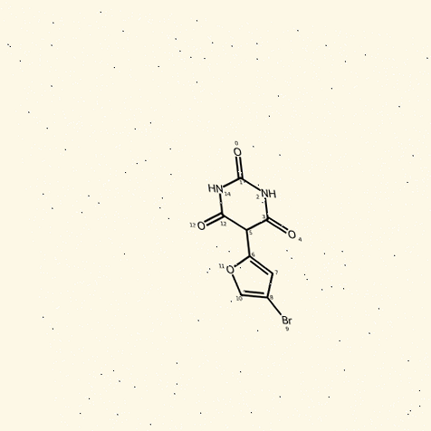 O=C1NC(=O)C(c2cc(Br)co2)C(=O)N1